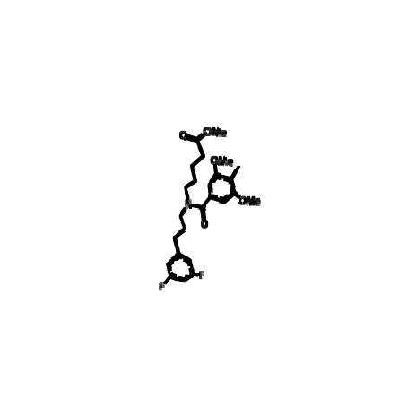 COC(=O)CCCCN(CCCc1cc(F)cc(F)c1)C(=O)c1cc(OC)c(C)c(OC)c1